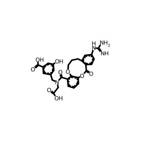 N=C(N)Nc1ccc2c(c1)CCCOc1c(cccc1C(=O)N(CC(=O)O)Cc1cc(O)cc(C(=O)O)c1)OC2=O